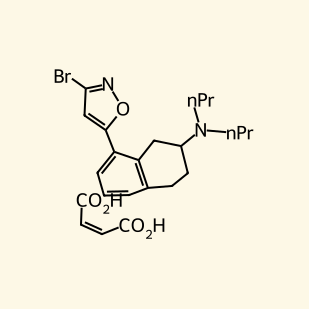 CCCN(CCC)C1CCc2cccc(-c3cc(Br)no3)c2C1.O=C(O)/C=C\C(=O)O